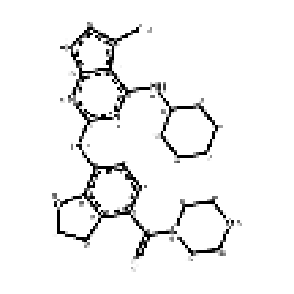 O=C(c1ccc(Nc2nc(NC3CCCCC3)c3c(Cl)c[nH]c3n2)c2c1CCO2)N1CCOCC1